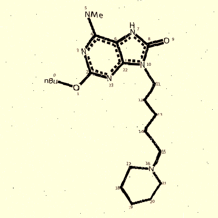 CCCCOc1nc(NC)c2[nH]c(=O)n(CCCCCN3CCCCC3)c2n1